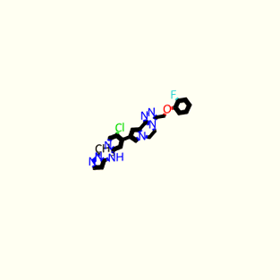 Cn1nccc1Nc1cc(-c2cc3n(c2)CCn2c(COc4ccccc4F)nnc2-3)c(Cl)cn1